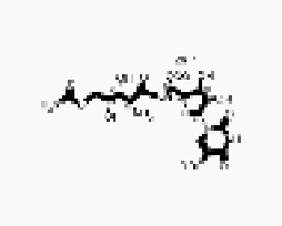 NC(=O)OC[C@@H](O)[C@H](O)[C@@H](N)C(=O)N[C@H](C(=O)[O-])[C@H]1O[C@@H](n2cc(C(=O)[O-])c(=O)[nH]c2=O)[C@H](O)[C@@H]1O.[Zn+2]